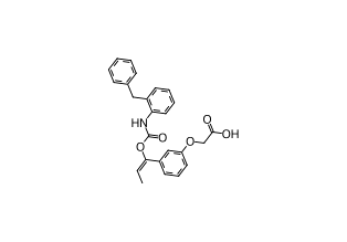 CC=C(OC(=O)Nc1ccccc1Cc1ccccc1)c1cccc(OCC(=O)O)c1